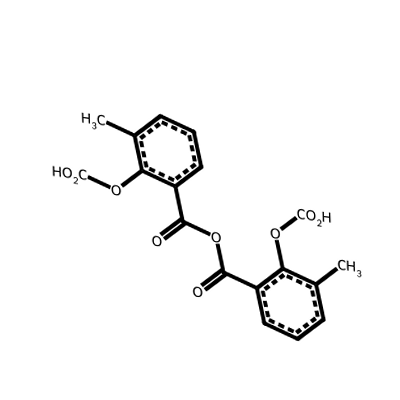 Cc1cccc(C(=O)OC(=O)c2cccc(C)c2OC(=O)O)c1OC(=O)O